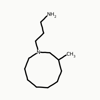 CC1CCCCCCCN(CCCN)C1